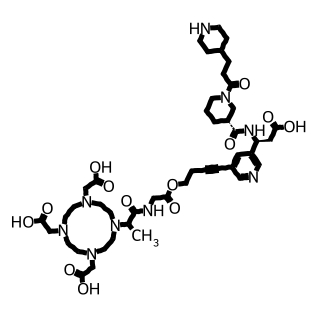 CC(C(=O)NCC(=O)OCCC#Cc1cncc([C@H](CC(=O)O)NC(=O)[C@@H]2CCCN(C(=O)CCC3CCNCC3)C2)c1)N1CCN(CC(=O)O)CCN(CC(=O)O)CCN(CC(=O)O)CC1